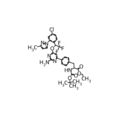 CCOC(=O)C(Cc1ccc(-c2cc(OC(c3ccc(Cl)cc3-n3ccc(C)n3)C(F)(F)F)nc(N)n2)cc1)NC(=O)OC(C)(C)C